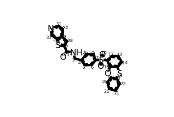 O=C(NCc1ccc(S(=O)(=O)c2cccc3c2Oc2ccccc2S3)cc1)c1cc2ccncc2s1